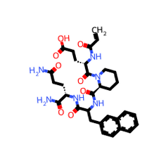 C=CC(=O)N[C@@H](CCC(=O)O)C(=O)N1CCCC[C@H]1C(=O)NC(Cc1ccc2ccccc2c1)C(=O)N[C@@H](CCC(N)=O)C(N)=O